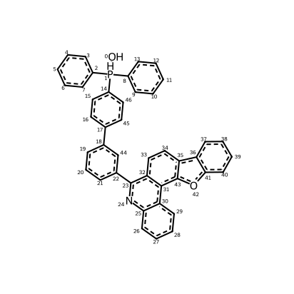 O[PH](c1ccccc1)(c1ccccc1)c1ccc(-c2cccc(-c3nc4ccccc4c4c3ccc3c5ccccc5oc34)c2)cc1